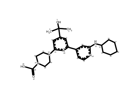 CC(C)(O)c1cc(-c2ccnc(NC3CCCCC3)c2)nc(N2CCN(C(=O)O)CC2)c1